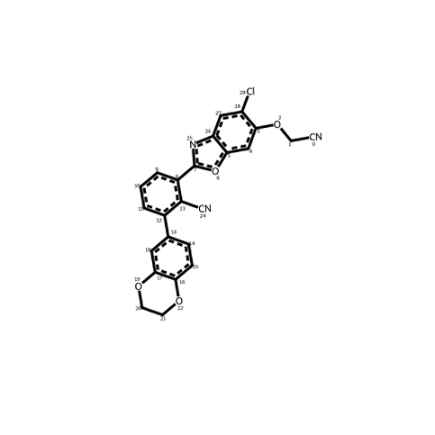 N#CCOc1cc2oc(-c3cccc(-c4ccc5c(c4)OCCO5)c3C#N)nc2cc1Cl